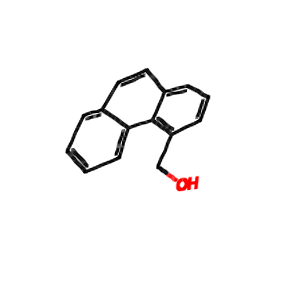 OCc1cccc2ccc3ccccc3c12